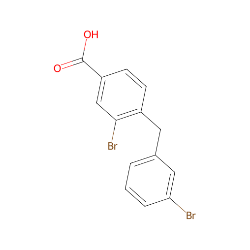 O=C(O)c1ccc(Cc2cccc(Br)c2)c(Br)c1